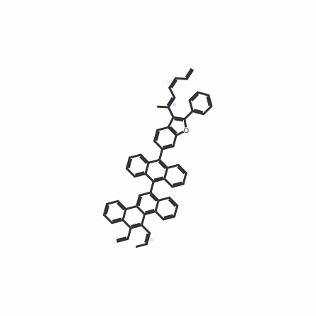 C=C/C=C\C=C(/C)c1c(-c2ccccc2)oc2cc(-c3c4ccccc4c(-c4cc5c6ccccc6c(C=C)c(/C=C\C)c5c5ccccc45)c4ccccc34)ccc12